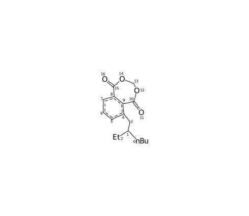 CCCCC(CC)Cc1cccc2c1C(=O)OCOC2=O